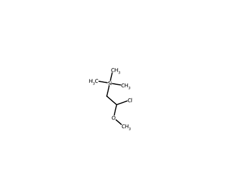 COC(Cl)C[Si](C)(C)C